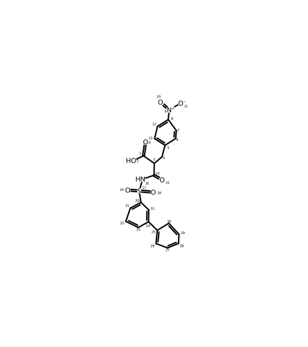 O=C(O)C(Cc1ccc([N+](=O)[O-])cc1)C(=O)NS(=O)(=O)c1cccc(-c2ccccc2)c1